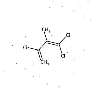 C=C(Cl)C(C)=C(Cl)Cl